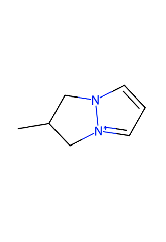 CC1Cn2ccc[n+]2C1